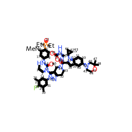 C/C=C\N(C(=O)Nc1ccc(P(=O)(CC)CC)c(NC)c1)c1c2c(nn1-c1cc(C)c(F)c(C)c1)CCN(C(=O)c1cc3cc(N4CCOC(C)(C)C4)ccc3n1[C@@]1(c3noc(=O)[nH]3)C[C@@H]1C)[C@H]2C